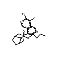 CCCCOC(=O)N1C2CCC1CN(c1cncc3c(F)c(Cl)ncc13)C2